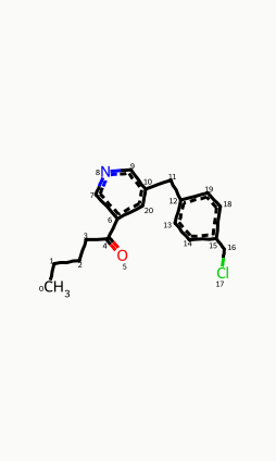 CCCCC(=O)c1cncc(Cc2ccc(CCl)cc2)c1